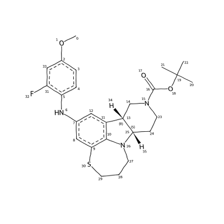 COc1ccc(Nc2cc3c4c(c2)[C@@H]2CN(C(=O)OC(C)(C)C)CC[C@@H]2N4CCCS3)c(F)c1